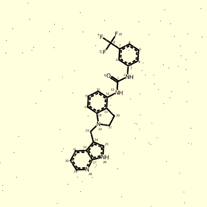 O=C(Nc1cccc(C(F)(F)F)c1)Nc1cccc2c1CCN2Cc1c[nH]c2ncccc12